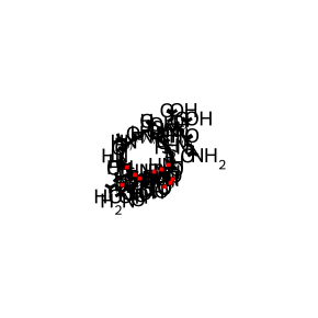 CC(C)C[C@@H]1NC(=O)[C@H](CCC(=O)O)NC(=O)[C@@H](NC(=O)[C@H](CCC(=O)O)NC(=O)[C@H](CC(=O)O)NC(=O)[C@H](N)CC(N)=O)CSSC[C@@H]2NC(=O)[C@H](C)NC(=O)[C@H](C(C)C)NC(=O)[C@H](CC(N)=O)NC(=O)[C@H](C(C)C)NC(=O)[C@H](CSSC[C@@H](C(=O)N[C@H](CC(C)C)C(=O)O)NC(=O)CNC(=O)[C@H]([C@@H](C)O)NC2=O)NC1=O